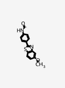 COc1ccc2sc(-c3ccc(N[C]=O)cc3)nc2c1